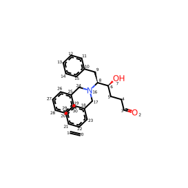 C=C.O=CCC[C@H](O)[C@H](Cc1ccccc1)N(Cc1ccccc1)Cc1ccccc1